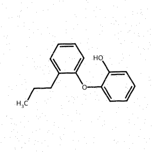 CCCc1ccccc1Oc1ccccc1O